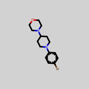 Brc1ccc(N2CCC(N3CCOCC3)CC2)cc1